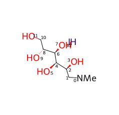 CNC[C@H](O)[C@@H](O)[C@H](O)[C@H](O)CO.I